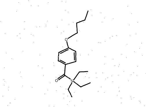 CCCCOc1ccc(C(=O)[Si](CC)(CC)CC)cc1